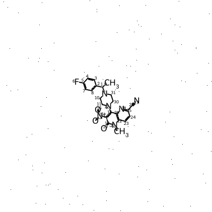 CC(c1ccc(F)cc1)N1CCN(c2c([N+](=O)[O-])c(=O)n(C)c3ccc(C#N)nc23)CC1